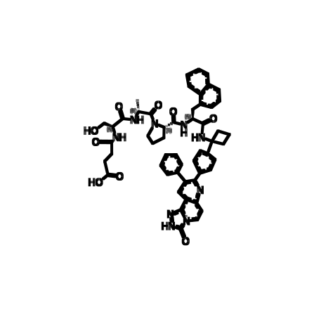 C[C@@H](NC(=O)[C@H](CO)NC(=O)CCC(=O)O)C(=O)N1CCC[C@H]1C(=O)N[C@@H](Cc1cccc2ccccc12)C(=O)NC1(c2ccc(-c3nc4ccn5c(=O)[nH]nc5c4cc3-c3ccccc3)cc2)CCC1